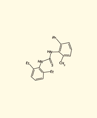 CCc1cccc(CC)c1NC(=S)Nc1c(C)cccc1C(C)C